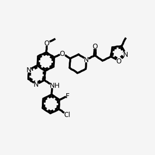 COc1cc2ncnc(Nc3cccc(Cl)c3F)c2cc1OC1CCCN(C(=O)Cc2cc(C)no2)C1